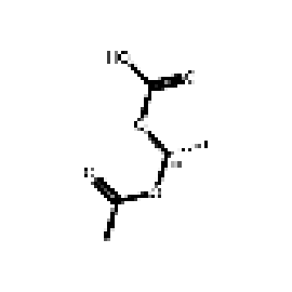 CC(=O)O[C@@H](C)OC(=O)O